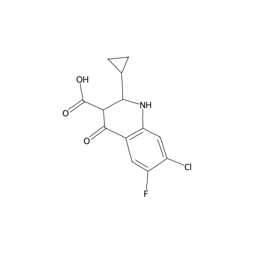 O=C(O)C1C(=O)c2cc(F)c(Cl)cc2NC1C1CC1